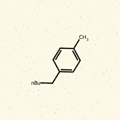 CCCCCc1ccc(C)cc1